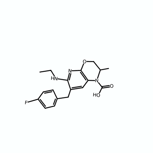 CCNc1nc2c(cc1Cc1ccc(F)cc1)N(C(=O)O)C(C)CO2